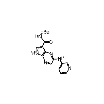 CC(C)(C)NC(=O)c1c[nH]c2ncc(Nc3cccnc3)nc12